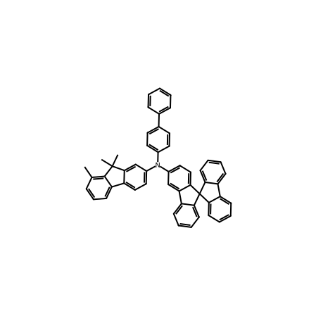 Cc1cccc2c1C(C)(C)c1cc(N(c3ccc(-c4ccccc4)cc3)c3ccc4c(c3)-c3ccccc3C43c4ccccc4-c4ccccc43)ccc1-2